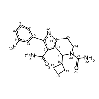 NC(=O)c1c(-c2cccc(F)c2)nn2c1C(C1CCC1)N(C(N)=O)CC2